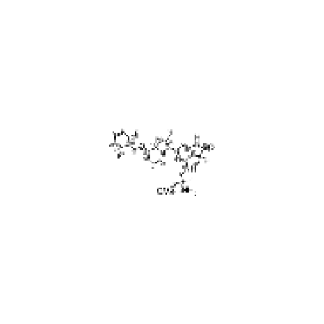 COCC(C)(N)CNc1nc(-c2c(C)nc3c(OCc4c(F)cccc4F)cccn23)nc2c1C(C)(C)C(=O)N2